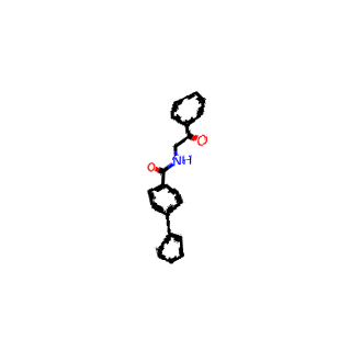 O=C(CNC(=O)c1ccc(-c2ccccc2)cc1)c1ccccc1